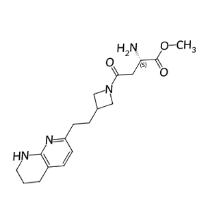 COC(=O)[C@@H](N)CC(=O)N1CC(CCc2ccc3c(n2)NCCC3)C1